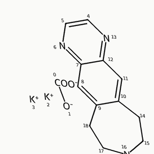 O=C([O-])[O-].[K+].[K+].c1cnc2cc3c(cc2n1)CCNCC3